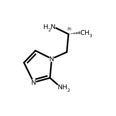 C[C@@H](N)Cn1ccnc1N